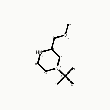 COCC1CN(C(C)(C)C)CCN1